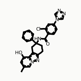 Cc1cc(O)c2c3c(nn2c1)CCC(NC(=O)c1ccc(-n2cnnc2)cc1Cl)(c1ccccc1)C3